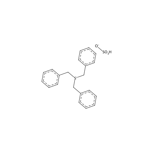 O=S(=O)([O-])O.c1ccc(C[S+](Cc2ccccc2)Cc2ccccc2)cc1